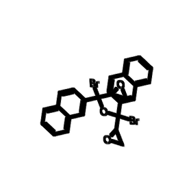 BrC(OC(Br)(c1ccc2ccccc2c1)C1CO1)(c1ccc2ccccc2c1)C1CO1